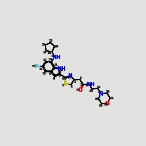 O=C(CC1CSC(c2cc3cc(F)cc(NC4CCCC4)c3[nH]2)=N1)NCCN1CCOCC1